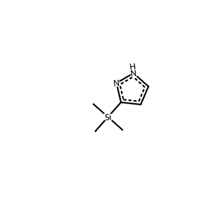 C[Si](C)(C)c1cc[nH]n1